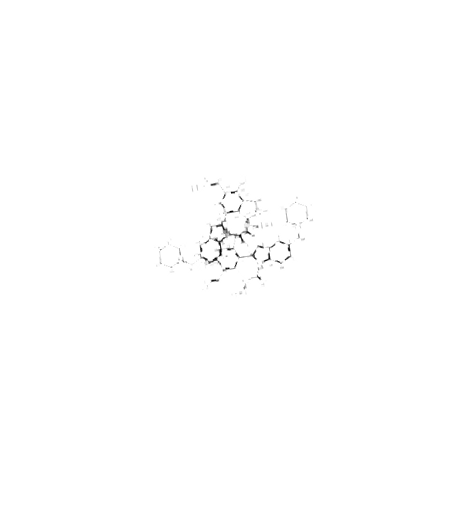 C=Cc1cc(-c2cc3cc(CN4CCCCC4)ccc3n2C(=O)OC(C)(C)C)c2c(c1Cl)CNC2C(=O)C1NCc2c(Cl)c(C=C)cc(-c3cc4cc(CN5CCCCC5)ccc4n3C(=O)OC(C)(C)C)c21